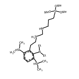 CCN(CC)c1c([SiH](C)C)ccc([SiH](C)C)c1CC[SiH2]CNCCC[Si](OC)(OC)OC